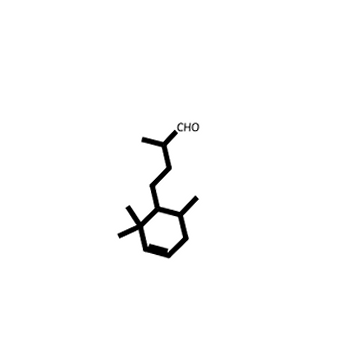 CC(C=O)CCC1C(C)CC=CC1(C)C